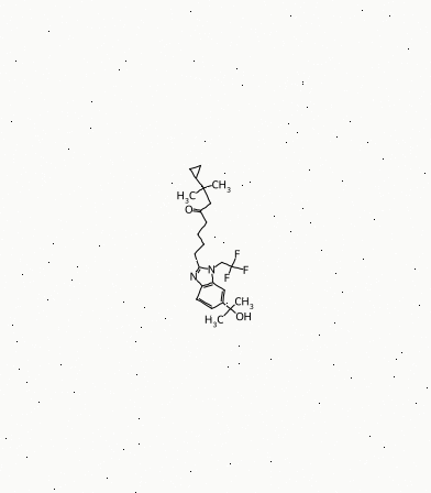 CC(C)(O)c1ccc2nc(CCCCC(=O)CC(C)(C)C3CC3)n(CC(F)(F)F)c2c1